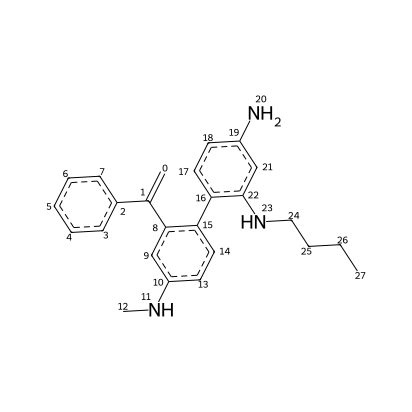 C=C(c1ccccc1)c1cc(NC)ccc1-c1ccc(N)cc1NCCCC